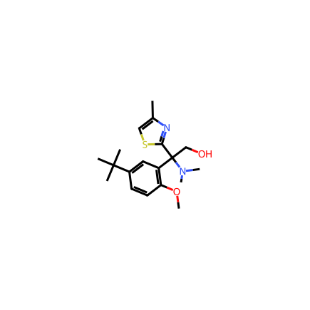 COc1ccc(C(C)(C)C)cc1C(CO)(c1nc(C)cs1)N(C)C